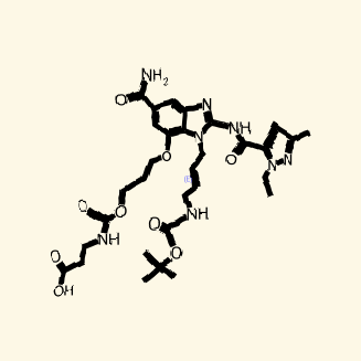 CCn1nc(C)cc1C(=O)Nc1nc2cc(C(N)=O)cc(OCCCOC(=O)NCCC(=O)O)c2n1C/C=C/CNC(=O)OC(C)(C)C